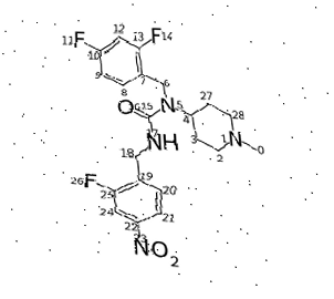 CN1CCC(N(Cc2ccc(F)cc2F)C(=O)NCc2ccc([N+](=O)[O-])cc2F)CC1